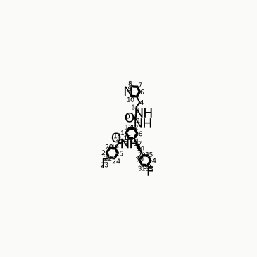 O=C(NCCc1cccnc1)Nc1ccc(NC(=O)c2ccc(F)cc2)c(C#Cc2ccc(F)cc2)c1